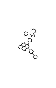 c1ccc(-c2ccc(-c3cc(-c4ccc(-c5nc6ccccc6n5-c5ccccc5)cc4)c4ccc5cccc6ccc3c4c65)cc2)cc1